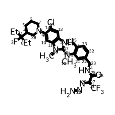 CCC(F)(CC)C1CCCN(c2cc3c(cc2Cl)NC(N(C)c2cc(CNC(=O)C(N=NN)C(F)(F)F)ccc2Cl)N3C)C1